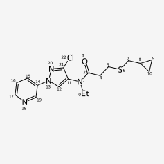 CCN(C(=O)CCSCC1CC1)c1cn(-c2cccnc2)nc1Cl